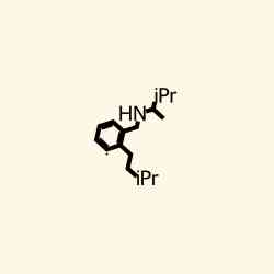 CC(C)CCc1[c]cccc1CNC(C)C(C)C